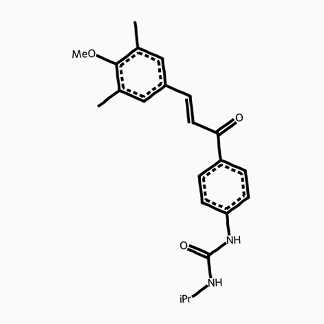 COc1c(C)cc(/C=C/C(=O)c2ccc(NC(=O)NC(C)C)cc2)cc1C